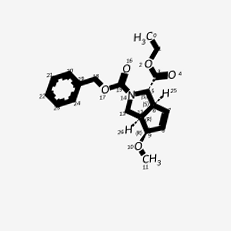 CCOC(=O)[C@@H]1[C@H]2C=C[C@@H](OC)[C@H]2CN1C(=O)OCc1ccccc1